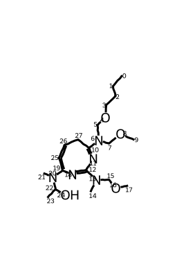 CCCCOCN(COC)/C1=N/C(N(C)COC)=N\C(N(C)C(C)O)=C=CC1